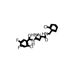 O=C(NCc1ccccc1Cl)c1cc(NC(=O)c2cc(F)c(F)cc2Cl)[nH]n1